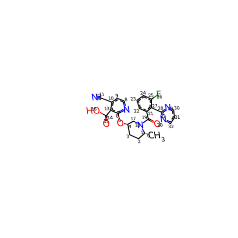 C[C@@H]1CC[C@@H](Oc2nccc(C#N)c2C(=O)O)CN1C(=O)c1cccc(F)c1-c1ncccn1